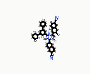 CC1Cc2cc(C#N)ccc2C=C1C1(C)NC(c2cc(-c3ccccc3)cc(C3C=CC=CC3)c2)N(C)C(c2ccc3cc(C#N)ccc3c2)N1C